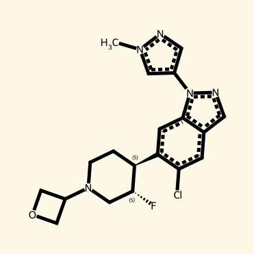 Cn1cc(-n2ncc3cc(Cl)c([C@@H]4CCN(C5COC5)C[C@H]4F)cc32)cn1